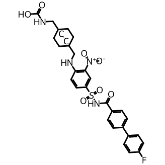 O=C(O)NCC12CCC(CNc3ccc(S(=O)(=O)NC(=O)c4ccc(-c5ccc(F)cc5)cc4)cc3[N+](=O)[O-])(CC1)CC2